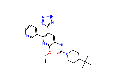 CCOc1nc(-c2cccnc2)c(-c2nn[nH]n2)cc1NC(=O)N1CCC(C(C)(C)C)CC1